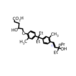 CCCC(O)(/C=C/c1ccc(C(CC)(CC)c2ccc(OCC(O)CCC(=O)O)c(C)c2)cc1C)CC